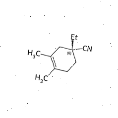 CC[C@@]1(C#N)CCC(C)=C(C)C1